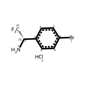 Cl.N[C@@H](c1ccc(Br)cc1)C(F)(F)F